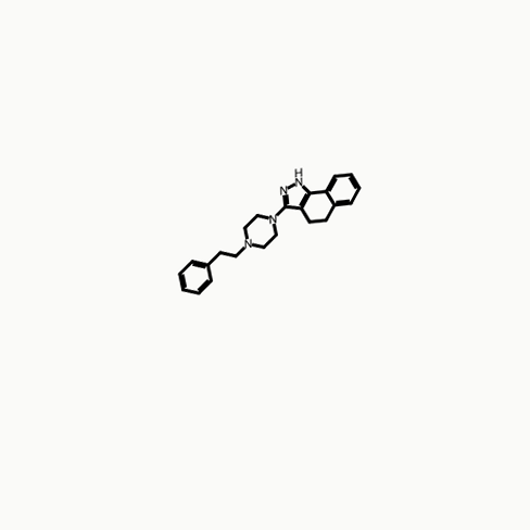 c1ccc(CCN2CCN(c3n[nH]c4c3CCc3ccccc3-4)CC2)cc1